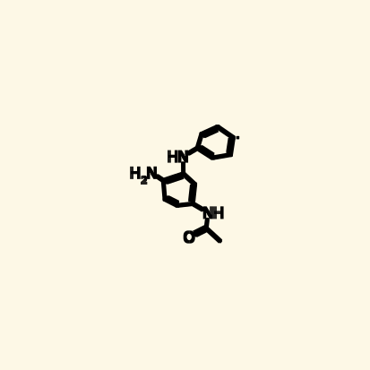 CC(=O)Nc1ccc(N)c(Nc2cc[c]cc2)c1